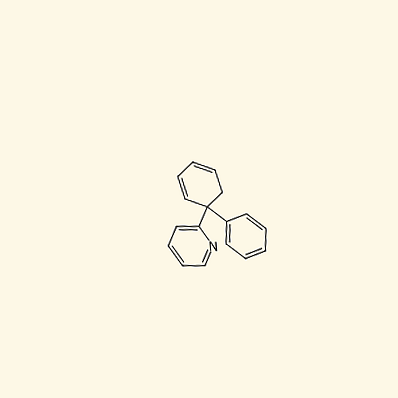 C1=CCC(c2ccccc2)(c2ccccn2)C=C1